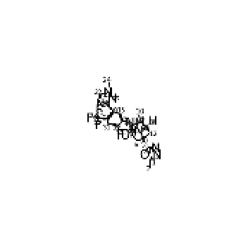 Cc1nnc([C@@]23CCC[C@@H](C)[C@@H](C2)N3C(=O)Nc2cc(-c3ncn(C)n3)c(C(F)(F)F)cc2F)o1